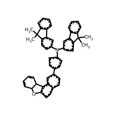 CC1(C)c2ccccc2-c2cc(N(c3ccc(-c4ccc5ccc6c(c5c4)C4C=CC=CC4O6)cc3)c3ccc4c(c3)-c3ccccc3C4(C)C)ccc21